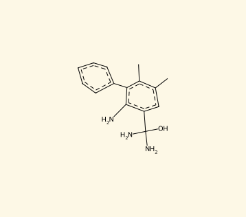 Cc1cc(C(N)(N)O)c(N)c(-c2ccccc2)c1C